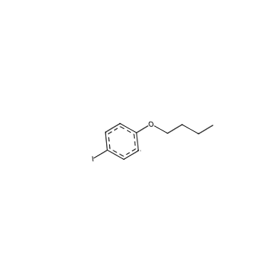 CCCCOc1[c]cc(I)cc1